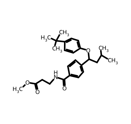 COC(=O)CCNC(=O)c1ccc(C(CC(C)C)Oc2ccc(C(C)(C)C)cc2)cc1